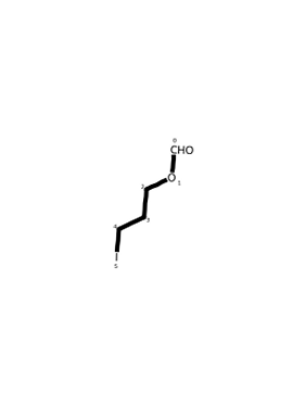 O=COCCCI